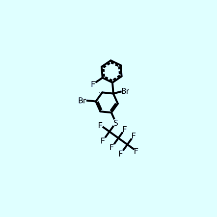 Fc1ccccc1C1(Br)[CH]C(Br)=CC(SC(F)(F)C(F)(F)C(F)(F)F)=C1